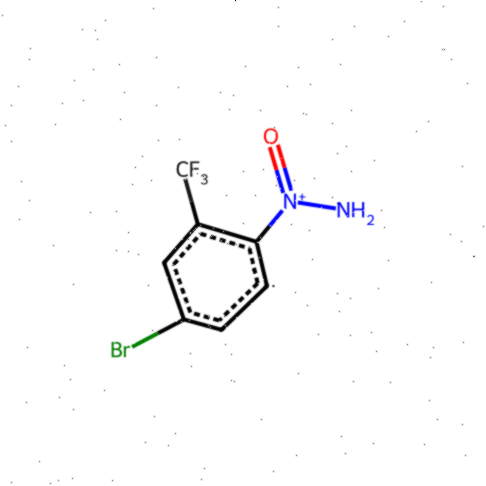 N[N+](=O)c1[c]cc(Br)cc1C(F)(F)F